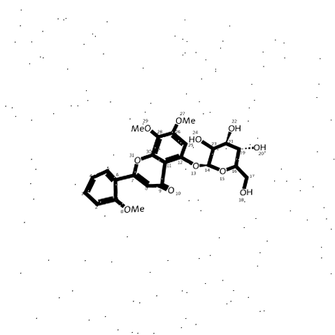 COc1ccccc1-c1cc(=O)c2c(O[C@@H]3OC(CO)[C@@H](O)[C@H](O)C3O)cc(OC)c(OC)c2o1